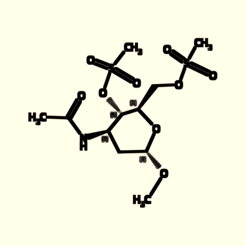 CO[C@@H]1C[C@@H](NC(C)=O)[C@H](OS(C)(=O)=O)[C@@H](COS(C)(=O)=O)O1